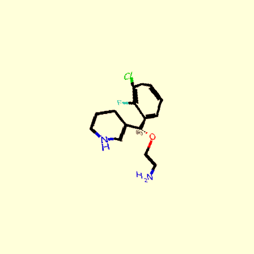 NCCO[C@@H](c1cccc(Cl)c1F)C1CCCNC1